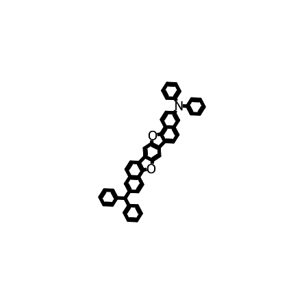 c1ccc(C(c2ccccc2)c2ccc3c(ccc4c5cc6oc7c8ccc(N(c9ccccc9)c9ccccc9)cc8ccc7c6cc5oc34)c2)cc1